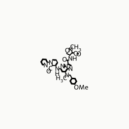 COc1ccc(CN(C)c2cc(NC3=CC=CN(c4ccccn4)C3=C=O)nn3c(C(=O)N[C@H]4CON(C)C4=C=O)cnc23)cc1